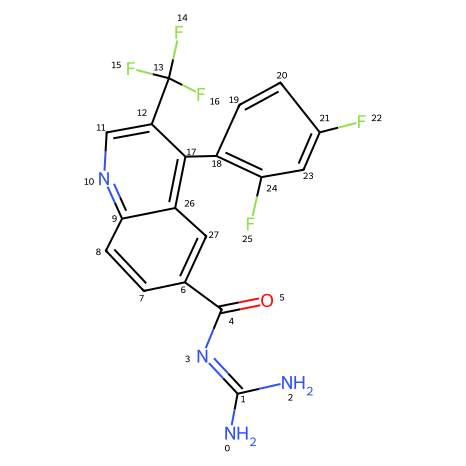 NC(N)=NC(=O)c1ccc2ncc(C(F)(F)F)c(-c3ccc(F)cc3F)c2c1